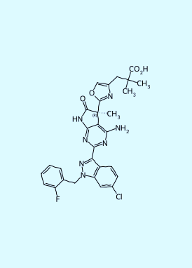 CC(C)(Cc1coc([C@]2(C)C(=O)Nc3nc(-c4nn(Cc5ccccc5F)c5cc(Cl)ccc45)nc(N)c32)n1)C(=O)O